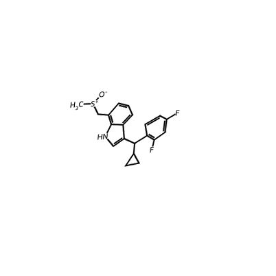 C[S+]([O-])Cc1cccc2c(C(c3ccc(F)cc3F)C3CC3)c[nH]c12